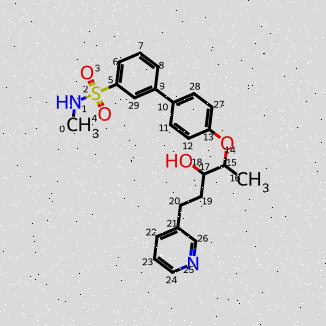 CNS(=O)(=O)c1cccc(-c2ccc(OC(C)C(O)CCc3cccnc3)cc2)c1